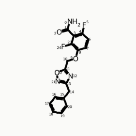 NC(=O)c1c(F)ccc(OCc2nc(Cc3ccccc3)no2)c1F